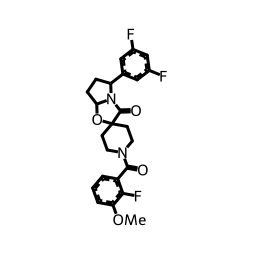 COc1cccc(C(=O)N2CCC3(CC2)OC2CCC(c4cc(F)cc(F)c4)N2C3=O)c1F